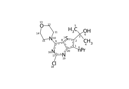 CCCc1c(C(C)(C)O)sc2c(N3CCOCC3)nc(Cl)nc12